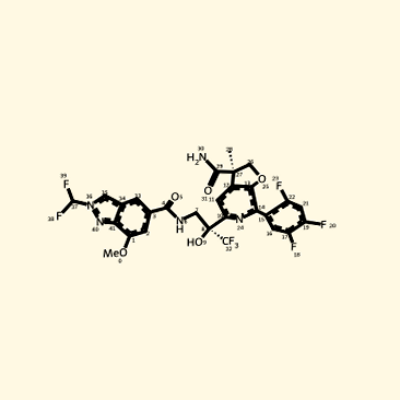 COc1cc(C(=O)NC[C@](O)(c2cc3c(c(-c4cc(F)c(F)cc4F)n2)OC[C@]3(C)C(N)=O)C(F)(F)F)cc2cn(C(F)F)nc12